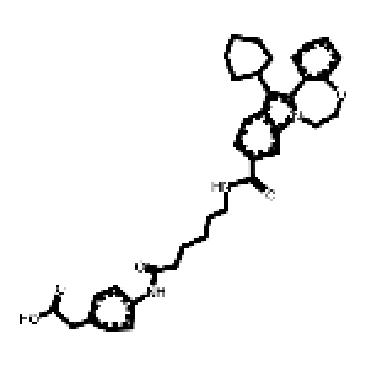 O=C(O)Cc1ccc(NC(=O)CCCCCNC(=O)c2ccc3c(C4CCCCC4)c4n(c3c2)CCOc2ccccc2-4)cc1